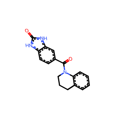 O=C(c1ccc2[nH]c(=O)[nH]c2c1)N1CCCc2ccccc21